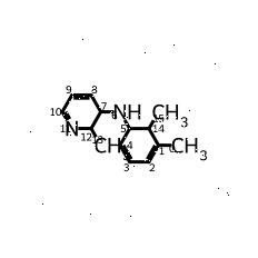 CC1=CC=CC(NC2C=CC=NC2C)C1C